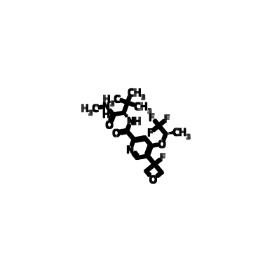 CNC(=O)[C@@H](NC(=O)c1cc(O[C@@H](C)C(F)(F)F)c(C2(F)COC2)cn1)C(C)(C)C